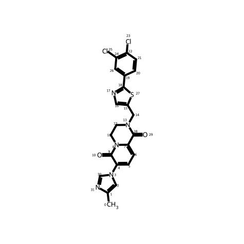 Cc1cn(-c2ccc3n(c2=O)CCN(Cc2cnc(-c4ccc(Cl)c(Cl)c4)s2)C3=O)cn1